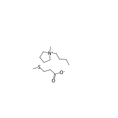 CCCC[N+]1(C)CCCC1.CSCCC(=O)[O-]